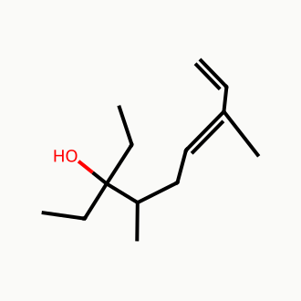 C=CC(C)=CCC(C)C(O)(CC)CC